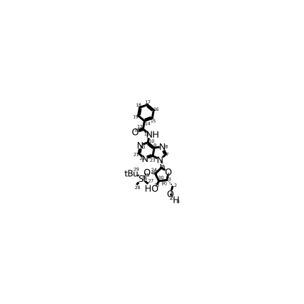 [2H]OC[C@H]1O[C@@H](n2cnc3c(NC(=O)c4ccccc4)ncnc32)[C@@H](O[Si](C)(C)C(C)(C)C)C1O